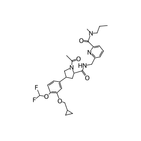 CCCN(C)C(=O)c1cccc(CNC(=O)C2CC(c3ccc(OC(F)F)c(OCC4CC4)c3)CN2C(C)=O)n1